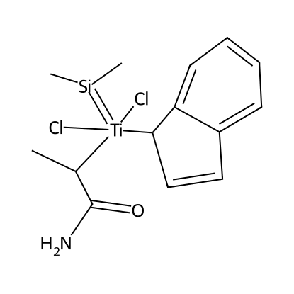 C[CH](C(N)=O)[Ti]([Cl])([Cl])([CH]1C=Cc2ccccc21)=[Si](C)C